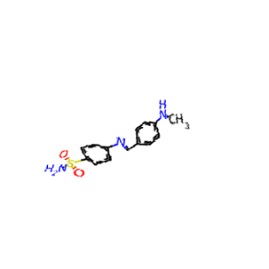 CNc1ccc(/C=N/c2ccc(S(N)(=O)=O)cc2)cc1